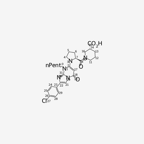 CCCCCn1c(N2CCC[C@H]2C(=O)N2CCC[C@@H](C(=O)O)C2)cc(=O)n2cc(-c3ccc(Cl)cc3)nc12